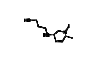 CC1C=CC(NCCCO)CN1I